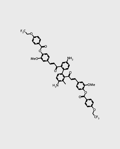 COc1cc(C=CC(=O)c2cc(N)ccc2-c2ccc(N)c(C)c2C(=O)C=Cc2ccc(OC(=O)c3ccc(OCC(F)(F)F)cc3)c(OC)c2)ccc1OC(=O)c1ccc(OCC(F)(F)F)cc1